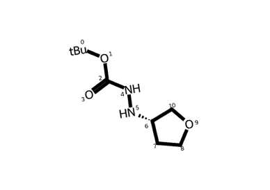 CC(C)(C)OC(=O)NN[C@H]1CCOC1